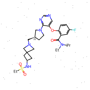 CCN(C(=O)c1cc(F)ccc1Oc1cncnc1N1CC[C@@H](CN2CC3(CC(NS(=O)(=O)CC)C3)C2)C1)C(C)C